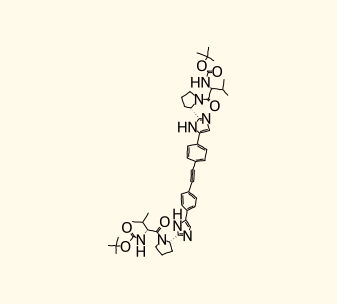 CC(C)[C@@H](NC(=O)OC(C)(C)C)C(=O)N1CCC[C@H]1c1ncc(-c2ccc(C#Cc3ccc(-c4cnc([C@@H]5CCCN5C(=O)[C@H](NC(=O)OC(C)(C)C)C(C)C)[nH]4)cc3)cc2)[nH]1